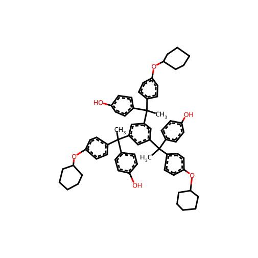 CC(c1ccc(O)cc1)(c1ccc(OC2CCCCC2)cc1)c1cc(C(C)(c2ccc(O)cc2)c2ccc(OC3CCCCC3)cc2)cc(C(C)(c2ccc(O)cc2)c2ccc(OC3CCCCC3)cc2)c1